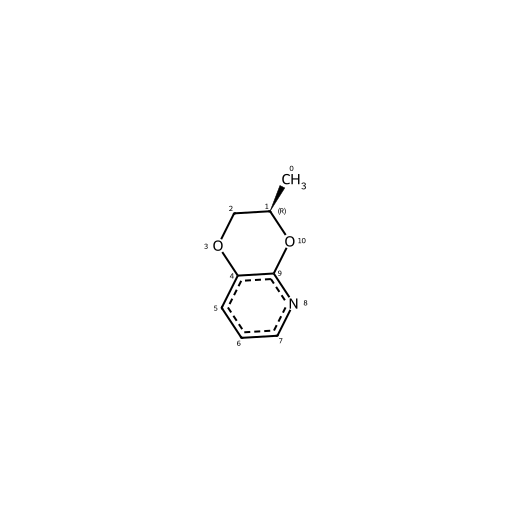 C[C@@H]1COc2cccnc2O1